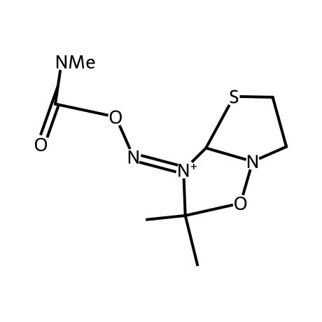 CNC(=O)ON=[N+]1C2SCCN2OC1(C)C